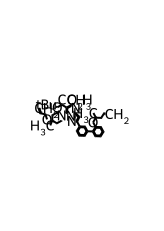 C=CCOC1(C)CCN(c2c(C(OC(C)(C)C)C(=O)O)c(C)nc3cc(-c4cccc(-c5ccccc5OC(C)CC=C)c4)nn23)CC1